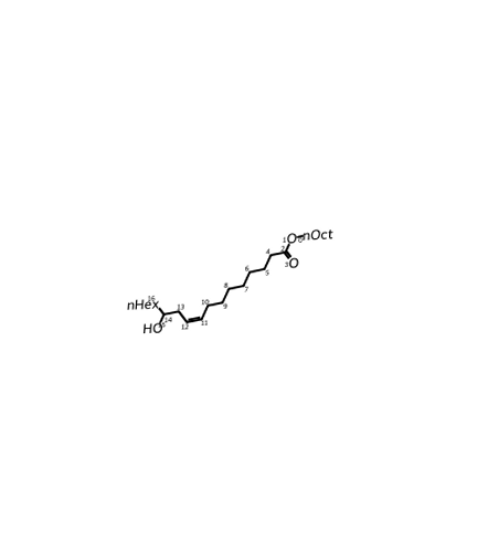 CCCCCCCCOC(=O)CCCCCCC/C=C\CC(O)CCCCCC